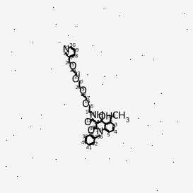 CCc1cccc2c1c(O)c(C(=O)NCCOCCOCCOCCOCc1cccnc1)c(=O)n2Cc1ccccc1